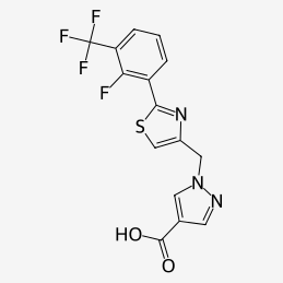 O=C(O)c1cnn(Cc2csc(-c3cccc(C(F)(F)F)c3F)n2)c1